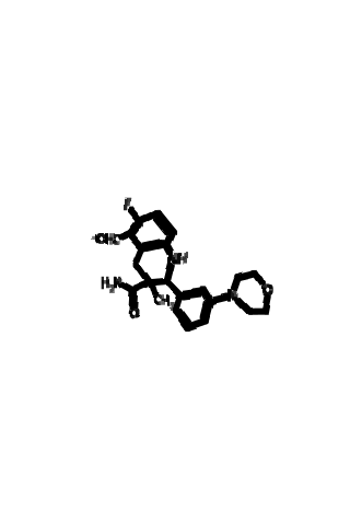 CC1(C(N)=O)Cc2c(ccc(F)c2[C]=O)NC1c1cccc(N2CCOCC2)c1